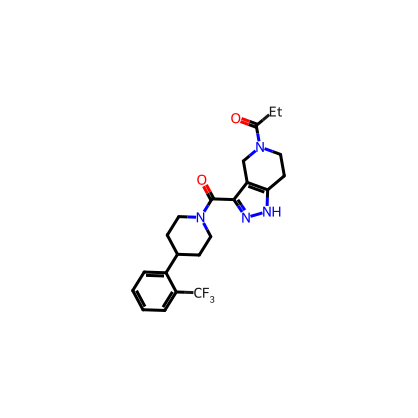 CCC(=O)N1CCc2[nH]nc(C(=O)N3CCC(c4ccccc4C(F)(F)F)CC3)c2C1